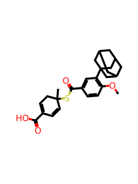 COc1ccc(C(=O)SC2(C)C=CC(C(=O)O)=CC2)cc1C12CC3CC(CC(C3)C1)C2